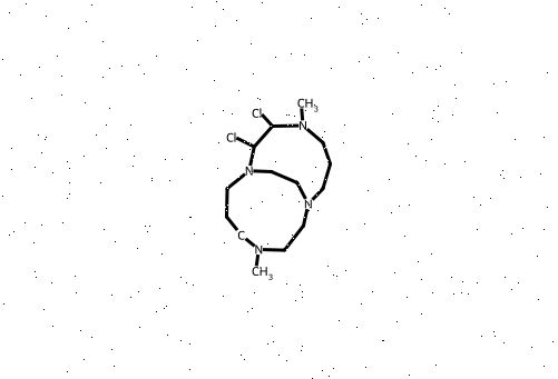 CN1CCCN2CCN(CCCN(C)C(Cl)C2Cl)CC1